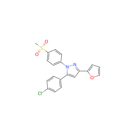 CS(=O)(=O)c1ccc(-n2nc(-c3ccco3)cc2-c2ccc(Cl)cc2)cc1